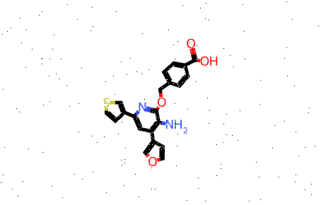 Nc1c(-c2ccoc2)cc(-c2ccsc2)nc1OCc1ccc(C(=O)O)cc1